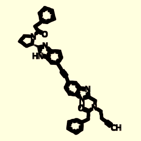 C#CCCN(Cc1nc2cc(C#Cc3ccc4nc([C@@H]5CCCN5C(=O)Cc5ccccc5)[nH]c4c3)ccc2[nH]1)C(=O)Cc1ccccc1